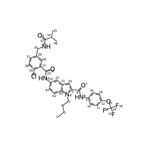 CCCCn1c(C(=O)Nc2ccc(OC(F)(F)F)cc2)cc2cc(NC(=O)c3cc(CNC(=O)C(C)C)ccc3Cl)ccc21